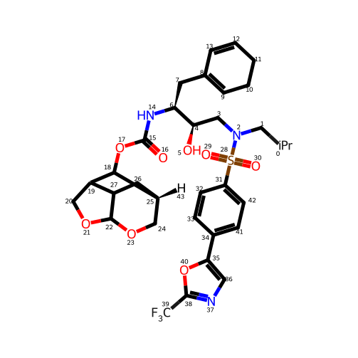 CC(C)CN(C[C@@H](O)[C@H](CC1=CCCC=C1)NC(=O)OC1C2COC3OC[C@H]1CC32)S(=O)(=O)c1ccc(-c2cnc(C(F)(F)F)o2)cc1